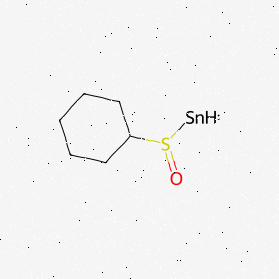 O=[S]([SnH])C1CCCCC1